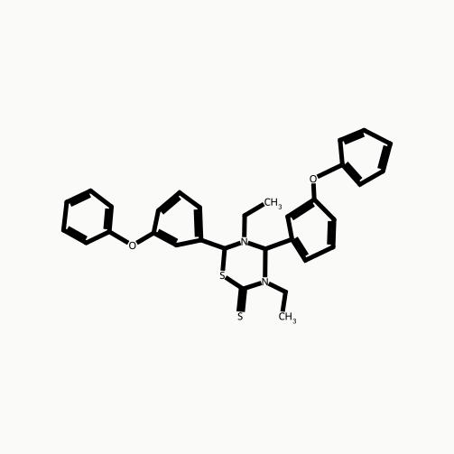 CCN1C(=S)SC(c2cccc(Oc3ccccc3)c2)N(CC)C1c1cccc(Oc2ccccc2)c1